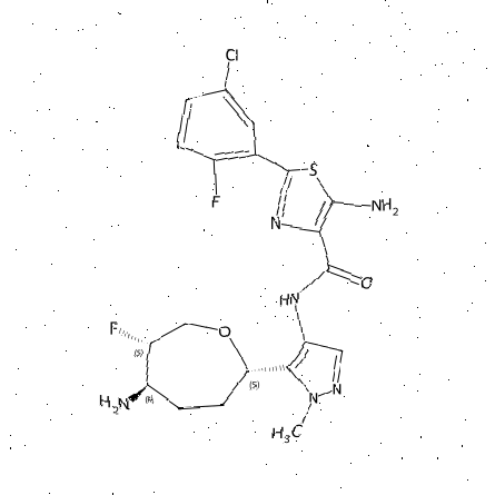 Cn1ncc(NC(=O)c2nc(-c3cc(Cl)ccc3F)sc2N)c1[C@@H]1CC[C@@H](N)[C@H](F)CO1